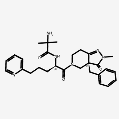 CN1N=C2CCN(C(=O)[C@@H](CCCc3ccccn3)NC(=O)C(C)(C)N)C[C@@]2(Cc2ccccc2)C1=O